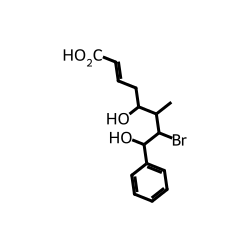 CC(C(O)CC=CC(=O)O)C(Br)C(O)c1ccccc1